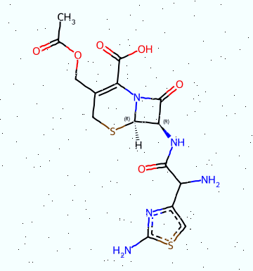 CC(=O)OCC1=C(C(=O)O)N2C(=O)[C@@H](NC(=O)C(N)c3csc(N)n3)[C@H]2SC1